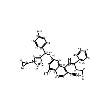 N#Cc1cnc2c(Cl)cc(NC(c3ccc(F)cc3)c3cn(C4CC4)nn3)cc2c1NC(CCF)c1ccccc1